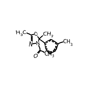 CC(=O)N1N=C(C)OC1(C)c1cccc(C)c1